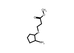 COC(=O)CCSC1CCCC1N